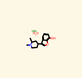 Br.CC1CC(c2coc3c(O)cccc23)CCN1C.O